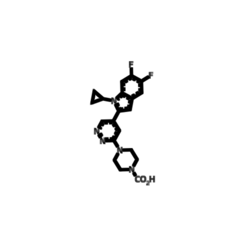 O=C(O)N1CCN(c2cc(-c3cc4cc(F)c(F)cc4n3C3CC3)cnn2)CC1